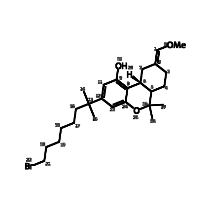 CO/C=C1\CCC2[C@@H](C1)c1c(O)cc(C(C)(C)CCCCCCBr)cc1OC2(C)C